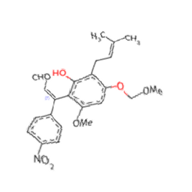 COCOc1cc(OC)c(/C(=C\C=O)c2ccc([N+](=O)[O-])cc2)c(O)c1CC=C(C)C